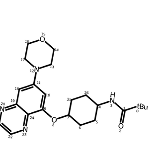 CC(C)(C)C(=O)NC1CCC(Oc2cc(N3CCOCC3)cc3nccnc23)CC1